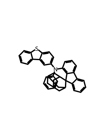 c1ccc(N(c2ccc3sc4ccccc4c3c2)c2cccc3c2C2(c4ccccc4-3)C3CC4CC(C3)CC2C4)cc1